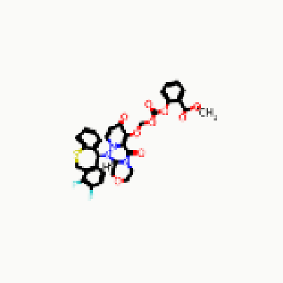 COC(=O)c1ccccc1OC(=O)OCOc1c2n(ccc1=O)N([C@@H]1c3ccccc3SCc3c1ccc(F)c3F)[C@@H]1COCCN1C2=O